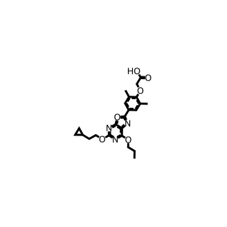 CCCOc1nc(OCCC2CC2)nc2oc(-c3cc(C)c(OCC(=O)O)c(C)c3)nc12